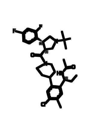 CC[C@H](NC(C)=O)c1cc(C)c(Cl)cc1C1CCN(C(=O)[C@@H]2CN(C(C)(C)C)C[C@H]2c2ccc(F)cc2F)CC1